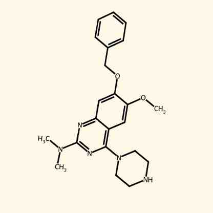 COc1cc2c(N3CCNCC3)nc(N(C)C)nc2cc1OCc1ccccc1